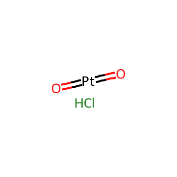 Cl.[O]=[Pt]=[O]